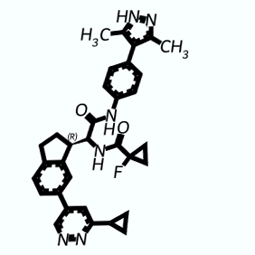 Cc1n[nH]c(C)c1-c1ccc(NC(=O)C(NC(=O)C2(F)CC2)[C@@H]2CCc3ccc(-c4cnnc(C5CC5)c4)cc32)cc1